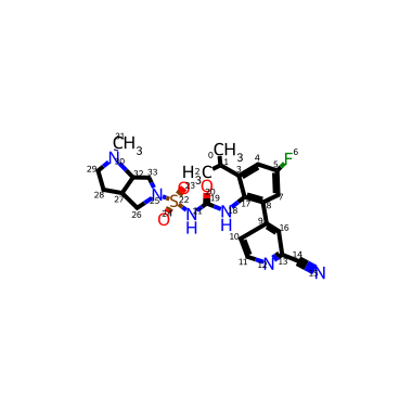 CC(C)c1cc(F)cc(-c2ccnc(C#N)c2)c1NC(=O)NS(=O)(=O)N1CC2CCN(C)C2C1